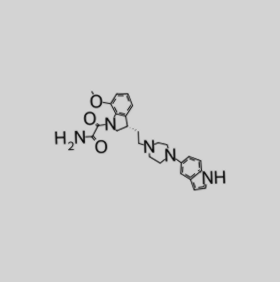 COc1cccc2c1N(C(=O)C(N)=O)C[C@H]2CCN1CCN(c2ccc3[nH]ccc3c2)CC1